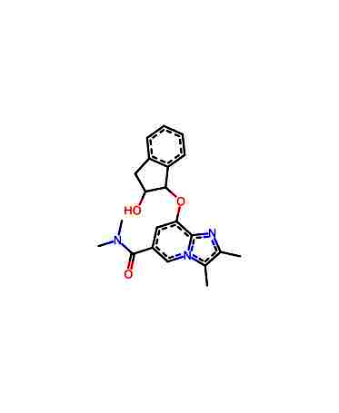 Cc1nc2c(OC3c4ccccc4CC3O)cc(C(=O)N(C)C)cn2c1C